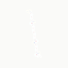 NCCOCCOCCNC(=O)CCOCCOCCOCCOCCC(=O)NCCOCCOCCNC(=O)C(F)(F)F